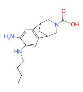 CCCCNc1cc2c(cc1N)C1CC2CN(C(=O)O)C1